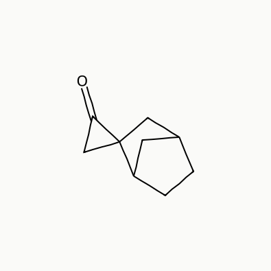 O=C1CC12CC1CCC2C1